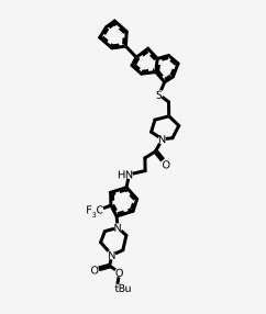 CC(C)(C)OC(=O)N1CCN(c2ccc(NCCC(=O)N3CCC(CSc4cccc5cc(-c6ccccc6)ccc45)CC3)cc2C(F)(F)F)CC1